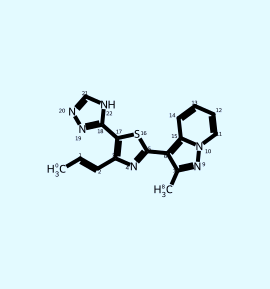 C/C=C/c1nc(-c2c(C)nn3ccccc23)sc1-c1nnc[nH]1